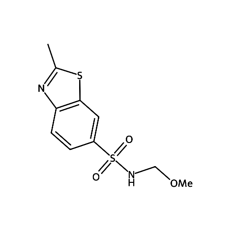 COCNS(=O)(=O)c1ccc2nc(C)sc2c1